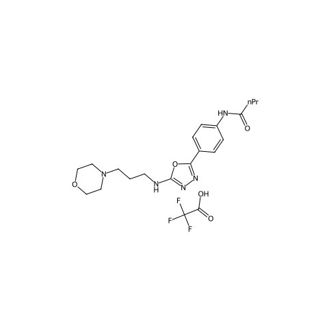 CCCC(=O)Nc1ccc(-c2nnc(NCCCN3CCOCC3)o2)cc1.O=C(O)C(F)(F)F